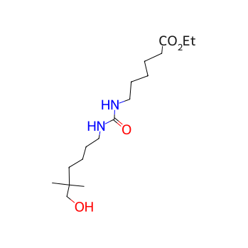 CCOC(=O)CCCCCNC(=O)NCCCCC(C)(C)CO